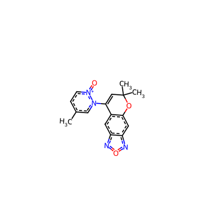 Cc1cc[n+](=O)n(C2=CC(C)(C)Oc3cc4nonc4cc32)c1